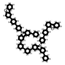 c1ccc(-c2ccc3c(c2)c2cc(-c4cccc(-c5cccc(-c6ccc7c(c6)c6cc(-c8ccccc8)ccc6n7-c6ccc(-c7ccc(-c8cccc9c8oc8ccccc89)cc7)cc6)c5)c4)ccc2n3-c2ccc(-c3ccc(-c4ccc5oc6ccccc6c5c4)cc3)cc2)cc1